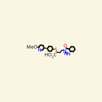 COc1ccc(-c2ccc(SC(CCn3nnc4ccccc4c3=O)C(=O)O)cc2)cn1